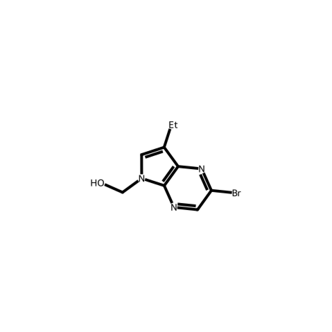 CCc1cn(CO)c2ncc(Br)nc12